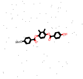 COc1ccc(C(=O)Oc2ccc(OC(=O)c3ccc(O)cc3)c(C)c2C)cc1